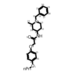 CCCOc1ccc(OCC(=O)NC2CCN(Cc3ccccc3)C(C)C2)cc1